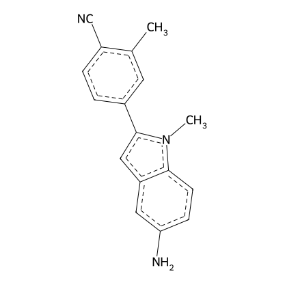 Cc1cc(-c2cc3cc(N)ccc3n2C)ccc1C#N